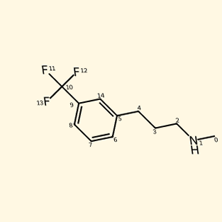 CNCCCc1cccc(C(F)(F)F)c1